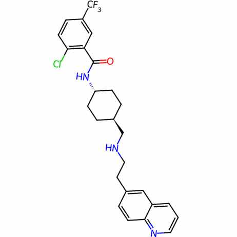 O=C(N[C@H]1CC[C@H](CNCCc2ccc3ncccc3c2)CC1)c1cc(C(F)(F)F)ccc1Cl